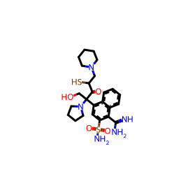 N=C(N)c1c(S(N)(=O)=O)cc(C(CO)(C(=O)C(S)CN2CCCCC2)N2CCCC2)c2ccccc12